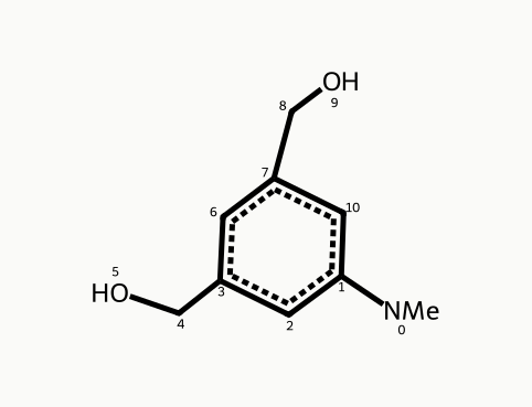 CNc1cc(CO)cc(CO)c1